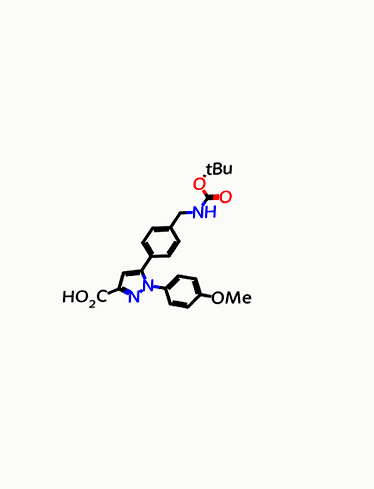 COc1ccc(-n2nc(C(=O)O)cc2-c2ccc(CNC(=O)OC(C)(C)C)cc2)cc1